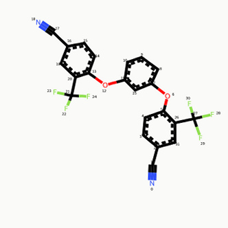 N#Cc1ccc(Oc2cccc(Oc3ccc(C#N)cc3C(F)(F)F)c2)c(C(F)(F)F)c1